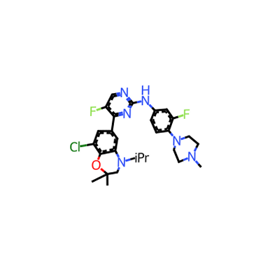 CC(C)N1CC(C)(C)Oc2c(Cl)cc(-c3nc(Nc4ccc(N5CCN(C)CC5)c(F)c4)ncc3F)cc21